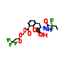 CCC(F)(F)C(=O)N[C@H]1Cc2cccc(C(=O)OCOC(=O)CC(F)(F)F)c2OB1O